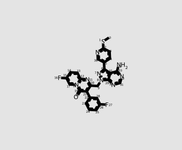 CSc1ccc(-c2nn(Cc3nc4ccc(F)cn4c(=O)c3-c3cccc(F)c3)c3ncnc(N)c23)cn1